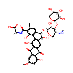 CN[C@@H]1[C@H](O[C@@H]2OC[C@H](O)[C@H](O)[C@H]2O)[C@@H](O)[C@@H](O[C@H]2c3cc(C)c(C(=O)N[C@H](C)C(=O)O)c(O)c3-c3c(cc4c(c3O)C(=O)c3cc(OC)cc(O)c3C4=O)[C@H]2O)O[C@H]1C